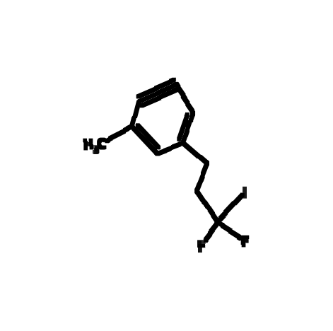 Cc1c#ccc(CCC(F)(F)I)c1